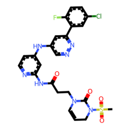 CS(=O)(=O)N1CC=CN(CCC(=O)Nc2cc(Nc3cnnc(-c4cc(Cl)ccc4F)c3)ccn2)C1=O